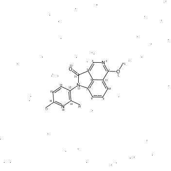 COc1ncc2c3c(cccc13)N(c1ccc(C)nc1C)C2=O